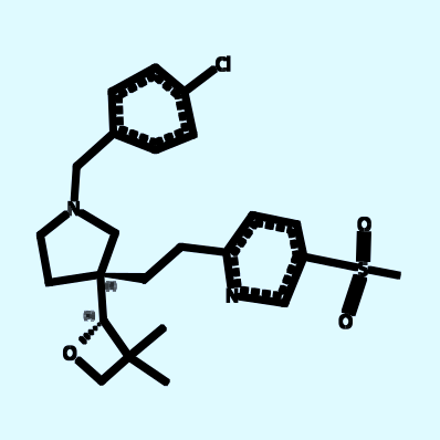 CC1(C)CO[C@@H]1[C@]1(CCc2ccc(S(C)(=O)=O)cn2)CCN(Cc2ccc(Cl)cc2)C1